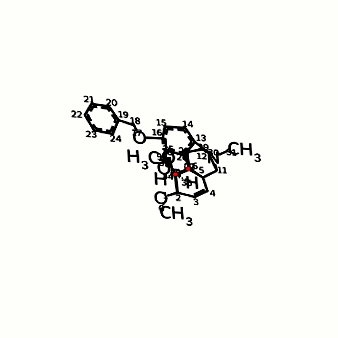 COC12C=CC3(C[C@@H]1C(C)=O)C1Cc4ccc(OCc5ccccc5)c5c4[C@@]3(CCN1C)[C@@H]2O5